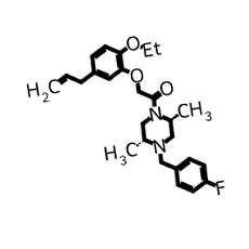 C=CCc1ccc(OCC)c(OCC(=O)N2C[C@@H](C)N(Cc3ccc(F)cc3)C[C@@H]2C)c1